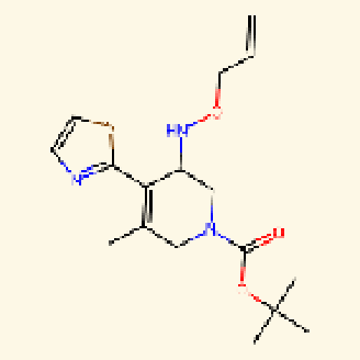 C=CCONC1CN(C(=O)OC(C)(C)C)CC(C)=C1c1nccs1